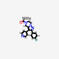 CNC(=O)N1CCn2nc(-c3ccc(F)cc3)c(-c3ccncc3)c2C1